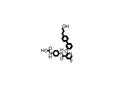 O=C(O)N[C@H]1CC[C@H](NC(=O)c2cc(F)cnc2Oc2cccc(-c3ccc(CCCO)cc3)c2)CC1